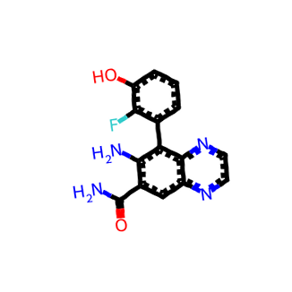 NC(=O)c1cc2nccnc2c(-c2cccc(O)c2F)c1N